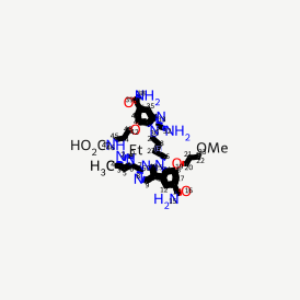 CCn1nc(C)cc1-c1ncc2c3cc(C(N)=O)cc(OCCCOC)c3n(C/C=C/Cn3c(N)nc4cc(C(N)=O)cc(OCCCNC(=O)O)c43)c2n1